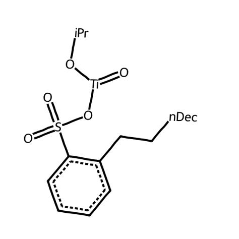 CCCCCCCCCCCCc1ccccc1S(=O)(=O)[O][Ti](=[O])[O]C(C)C